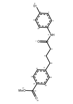 [CH2]Cc1ccc(NC(=O)CCCc2ccc(C(=O)OC)cc2)cc1